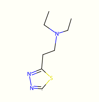 CCN(CC)CCc1nn[c]s1